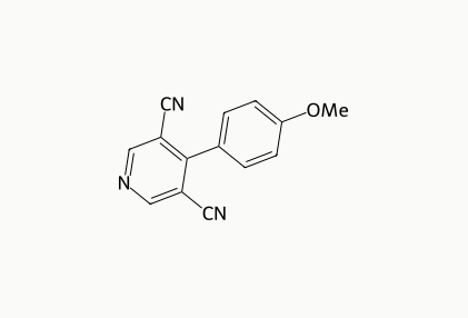 COc1ccc(-c2c(C#N)cncc2C#N)cc1